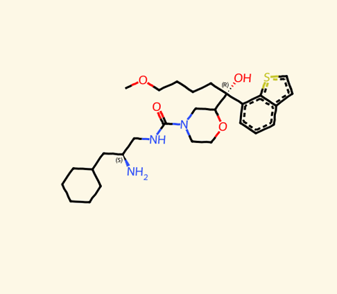 COCCCC[C@@](O)(c1cccc2ccsc12)C1CN(C(=O)NC[C@@H](N)CC2CCCCC2)CCO1